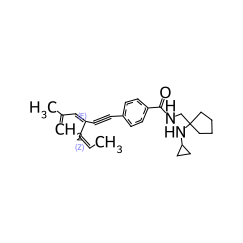 C=C(C)/C=C(C#Cc1ccc(C(=O)NCC2(NC3CC3)CCCC2)cc1)\C=C/C